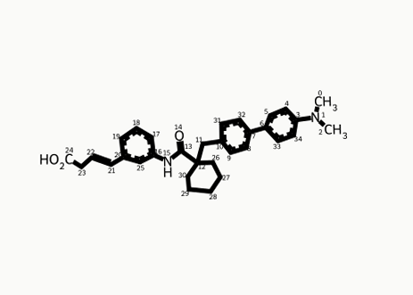 CN(C)c1ccc(-c2ccc(CC3(C(=O)Nc4cccc(/C=C/CC(=O)O)c4)CCCCC3)cc2)cc1